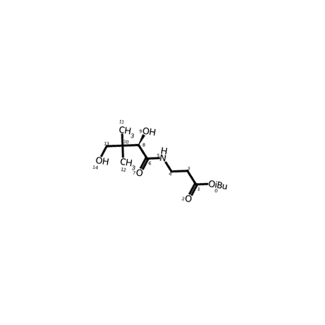 CC(C)COC(=O)CCNC(=O)[C@H](O)C(C)(C)CO